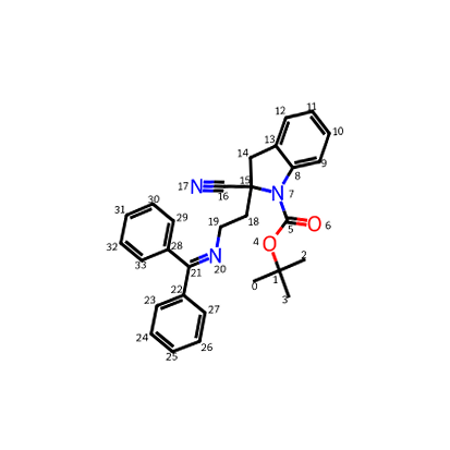 CC(C)(C)OC(=O)N1c2ccccc2CC1(C#N)CCN=C(c1ccccc1)c1ccccc1